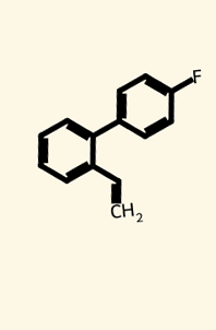 C=Cc1ccccc1-c1ccc(F)cc1